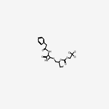 O=C(Cc1ccccc1)NC1C(=O)NC1SCC(CF)OC(=O)OCC(Cl)(Cl)Cl